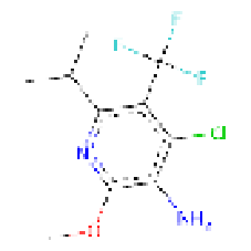 COc1nc(C(C)C)c(C(F)(F)F)c(Cl)c1N